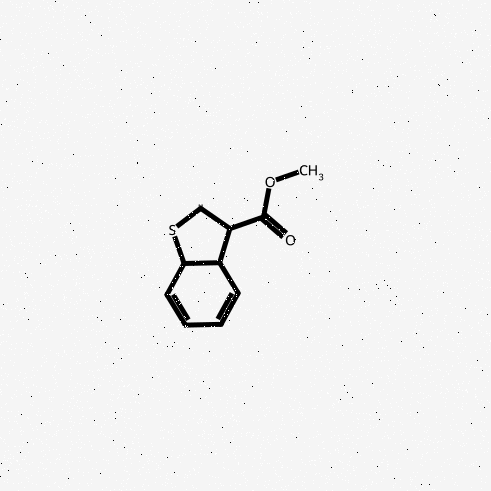 COC(=O)C1[C]SC2C=CC=CC21